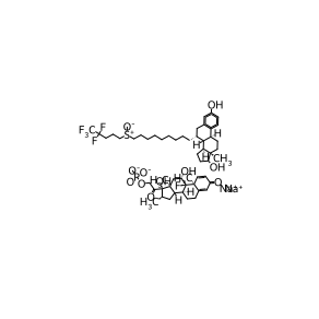 C[C@@H]1C[C@H]2[C@@H]3CCC4=CC(=O)C=C[C@]4(C)[C@@]3(F)[C@@H](O)C[C@]2(C)[C@@]1(O)C(=O)COP(=O)([O-])[O-].C[C@]12CC[C@@H]3c4ccc(O)cc4C[C@@H](CCCCCCCCC[S+]([O-])CCCC(F)(F)C(F)(F)F)[C@H]3[C@@H]1CC[C@@H]2O.[Na+].[Na+]